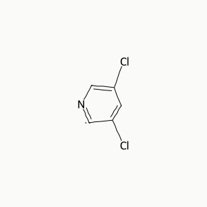 Clc1[c]ncc(Cl)c1